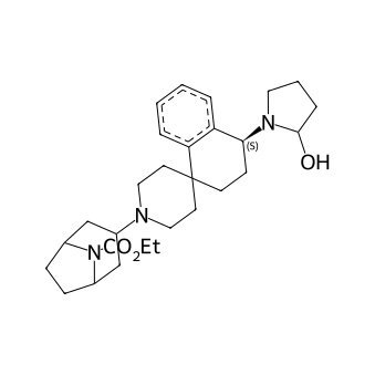 CCOC(=O)N1C2CCC1CC(N1CCC3(CC[C@H](N4CCCC4O)c4ccccc43)CC1)C2